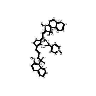 CC(C)C(OC1=C(/C=C/C2=[N+](C)c3ccc4ccccc4c3C2(C)C)CC/C1=C\C=C1\N(C)c2ccc3ccccc3c2C1(C)C)c1cc[n+](C)cc1